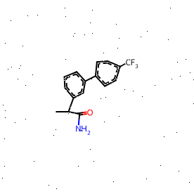 C[C](C(N)=O)c1cccc(-c2ccc(C(F)(F)F)cc2)c1